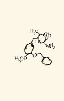 COc1ccc(CC(NC(N)=O)C(C)C)cc1OCc1ccccc1